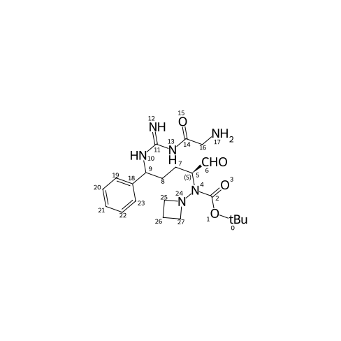 CC(C)(C)OC(=O)N([C@H](C=O)CCC(NC(=N)NC(=O)CN)c1ccccc1)N1CCC1